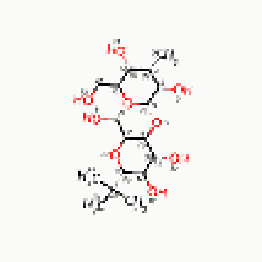 C[C@@H]1C(O)[C@H](O[C@@H]2C(CO)O[C@@H](C(C)(C)C)C(O)[C@H]2O)OC(CO)[C@@H]1O